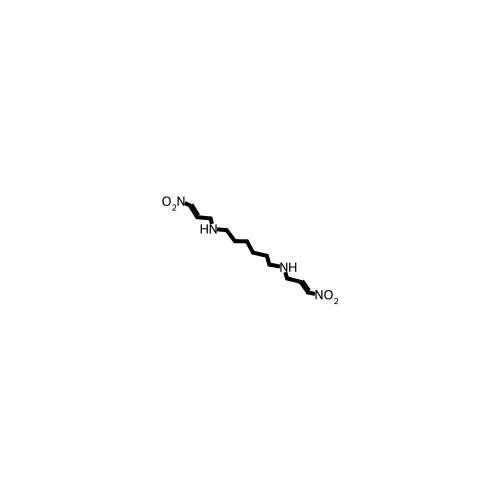 O=[N+]([O-])C=CCNCCCCCCNCC=C[N+](=O)[O-]